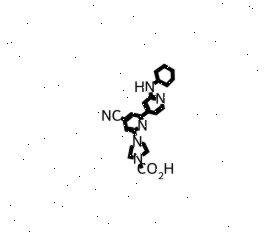 N#Cc1cc(-c2ccnc(NC3CCCCC3)c2)nc(N2CCN(C(=O)O)CC2)c1